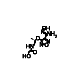 C[C@@H](CNC(=O)CO)Oc1nonc1/C(N)=N/O